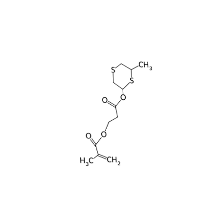 C=C(C)C(=O)OCCC(=O)OC1CSCC(C)S1